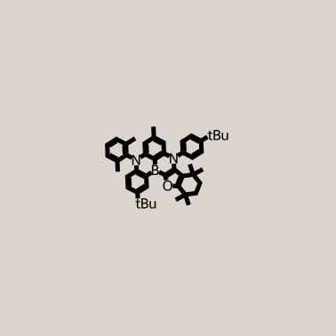 Cc1cc2c3c(c1)N(c1c(C)cccc1C)c1ccc(C(C)(C)C)cc1B3c1oc3c(c1N2c1ccc(C(C)(C)C)cc1)C(C)(C)CCC3(C)C